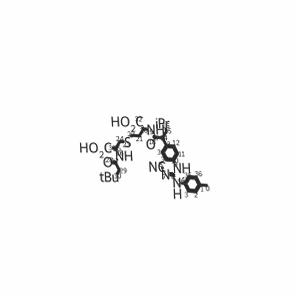 Cc1ccc(NC(=NC#N)Nc2ccc(C(CC(C)C)C(=O)NC(CCSCC(NC(=O)CC(C)(C)C)C(=O)O)C(=O)O)cc2)cc1